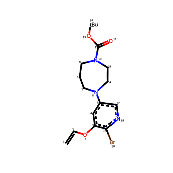 C=COc1cc(N2CCCN(C(=O)OC(C)(C)C)CC2)cnc1Br